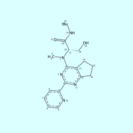 CN(c1nc(-c2ccccn2)nc2c1CCC2)[C@@H](CO)C(=O)NC(C)(C)C